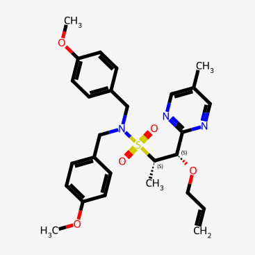 C=CCO[C@@H](c1ncc(C)cn1)[C@H](C)S(=O)(=O)N(Cc1ccc(OC)cc1)Cc1ccc(OC)cc1